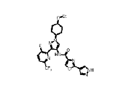 CCOC1CCC(n2cc(NC(=O)c3coc(-c4cn[nH]c4)n3)c(-c3nc(C(F)(F)F)ccc3F)n2)CC1